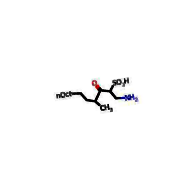 CCCCCCCCCCC(C)C(=O)C(CN)S(=O)(=O)O